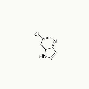 Clc1cnc2c[c][nH]c2c1